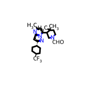 Cc1cc(C2CN(C=O)CCC2(C)C)n2nc([C@H]3CC[C@H](C(F)(F)F)CC3)cc2n1